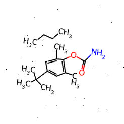 CCCC.Cc1cc(C(C)(C)C)cc(C)c1OC(N)=O